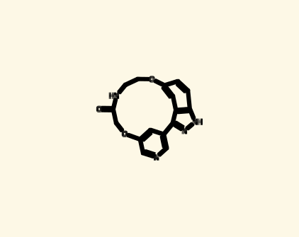 O=C1COc2cncc(c2)-c2n[nH]c3ccc(cc23)OCCN1